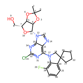 CC1(C)OC2C(O1)[C@@H](CO)O[C@H]2n1cnc2c(N3CC4(CCCC4)c4cccc(F)c43)nc(Cl)nc21